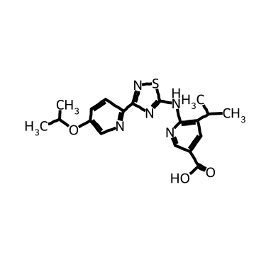 CC(C)Oc1ccc(-c2nsc(Nc3ncc(C(=O)O)cc3C(C)C)n2)nc1